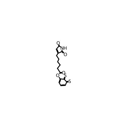 O=C1C=C(CCCCCC(=O)OC2=CC=CC(=S)C2=S)C(=O)N1